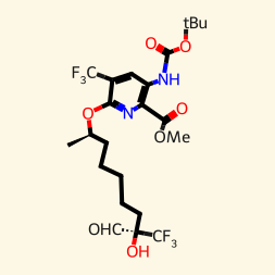 COC(=O)c1nc(O[C@H](C)CCCCC[C@@](O)(C=O)C(F)(F)F)c(C(F)(F)F)cc1NC(=O)OC(C)(C)C